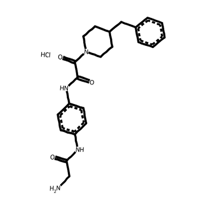 Cl.NCC(=O)Nc1ccc(NC(=O)C(=O)N2CCC(Cc3ccccc3)CC2)cc1